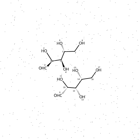 O=C[C@@H](O)[C@H](O)[C@H](O)CO.O=C[C@H](O)[C@@H](O)[C@H](O)CO